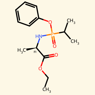 CCOC(=O)[C@@H](C)NP(=O)(Oc1ccccc1)C(C)C